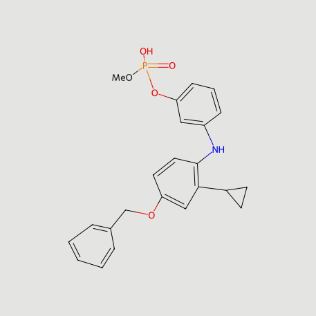 COP(=O)(O)Oc1cccc(Nc2ccc(OCc3ccccc3)cc2C2CC2)c1